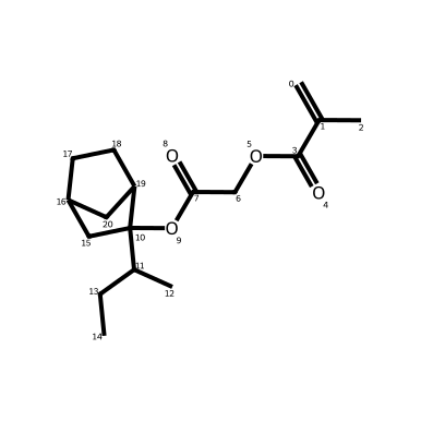 C=C(C)C(=O)OCC(=O)OC1(C(C)CC)CC2CCC1C2